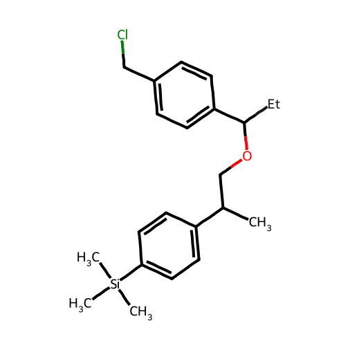 CCC(OCC(C)c1ccc([Si](C)(C)C)cc1)c1ccc(CCl)cc1